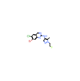 Cc1c(Nc2ncc3cc(Cl)c(Br)cc3n2)cnn1CCF